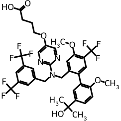 COc1ccc(C(C)(C)O)cc1-c1cc(C(F)(F)F)c(OC)cc1CN(Cc1cc(C(F)(F)F)cc(C(F)(F)F)c1)c1ncc(OCCCC(=O)O)cn1